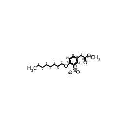 CCCCCCCCOc1ccc(CC(=O)OC)cc1[N+](=O)[O-]